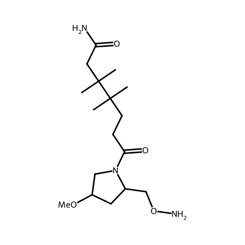 COC1CC(CON)N(C(=O)CCC(C)(C)C(C)(C)CC(N)=O)C1